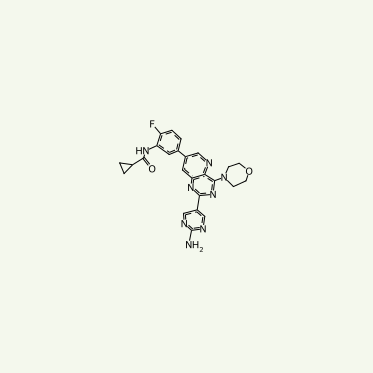 Nc1ncc(-c2nc(N3CCOCC3)c3ncc(-c4ccc(F)c(NC(=O)C5CC5)c4)cc3n2)cn1